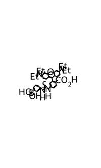 CCN(CC)c1ccc2c(-c3cc(NC(=S)Nc4cccc(B(O)O)c4)ccc3C(=O)O)c3ccc(=[N+](CC)CC)cc-3oc2c1